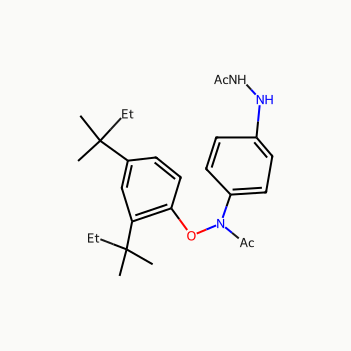 CCC(C)(C)c1ccc(ON(C(C)=O)c2ccc(NNC(C)=O)cc2)c(C(C)(C)CC)c1